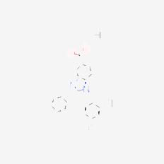 CCOC(=O)c1ccc2c(c1)nc(Cc1ccccc1)n2Cc1ccc(Cl)cc1Cl